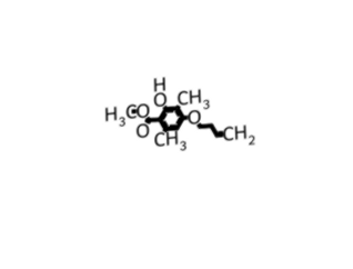 C=CCCOc1cc(C)c(C(=O)OC)c(O)c1C